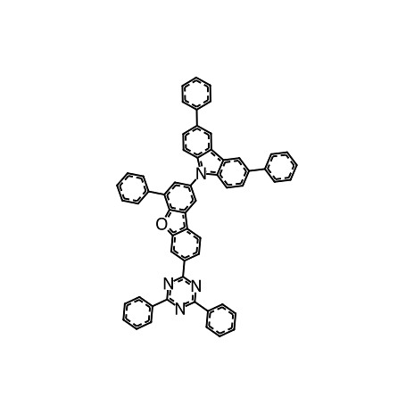 c1ccc(-c2ccc3c(c2)c2cc(-c4ccccc4)ccc2n3-c2cc(-c3ccccc3)c3oc4cc(-c5nc(-c6ccccc6)nc(-c6ccccc6)n5)ccc4c3c2)cc1